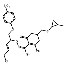 CC(C)C(=NOC(C=CCCl)COc1ccc([N+](=O)[O-])cc1)C1=C(O)CC(CSC2CC2C)CC1=O